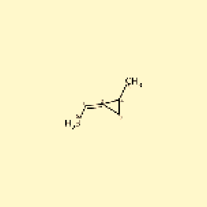 B/C=C1\CC1C